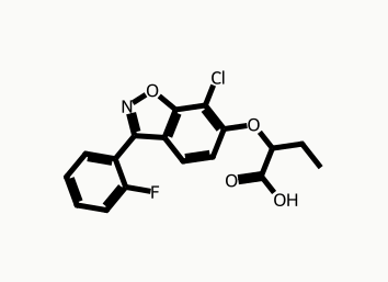 CCC(Oc1ccc2c(-c3ccccc3F)noc2c1Cl)C(=O)O